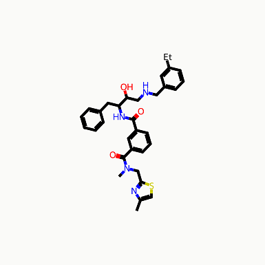 CCc1cccc(CNCC(O)C(Cc2ccccc2)NC(=O)c2cccc(C(=O)N(C)Cc3nc(C)cs3)c2)c1